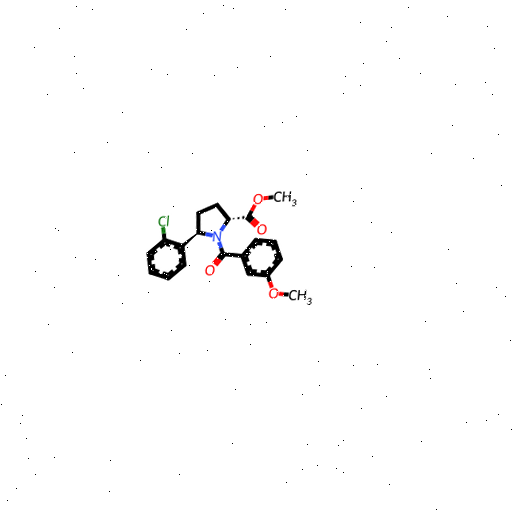 COC(=O)[C@H]1CC[C@H](c2ccccc2Cl)N1C(=O)c1cccc(OC)c1